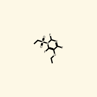 CCOC1=C(F)N(S(=O)(=O)CC)C(F)N=C1F